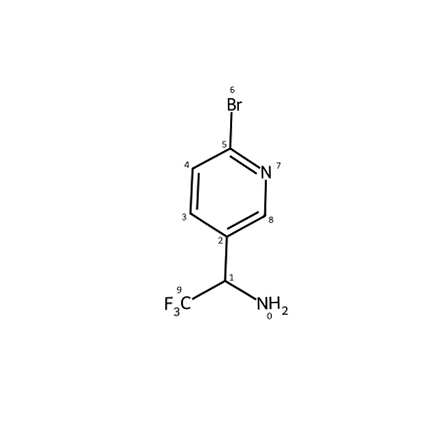 NC(c1ccc(Br)nc1)C(F)(F)F